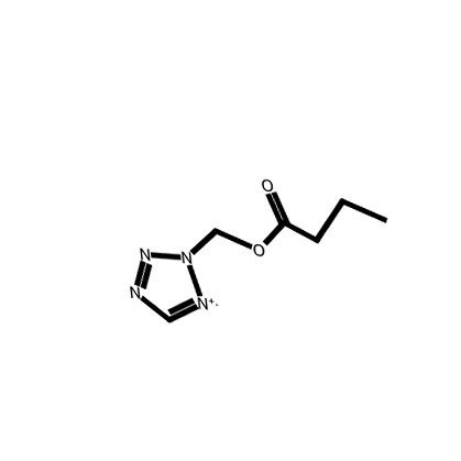 CCCC(=O)OCN1N=NC=[N+]1